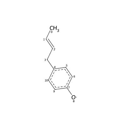 CC=CCc1ccc([O])cc1